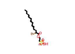 CCCCCCCCCCCCC(Br)C(=O)OCCS(=O)(=O)O